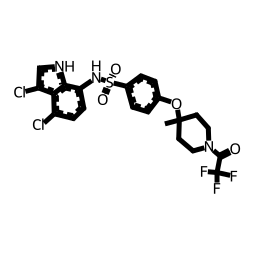 CC1(Oc2ccc(S(=O)(=O)Nc3ccc(Cl)c4c(Cl)c[nH]c34)cc2)CCN(C(=O)C(F)(F)F)CC1